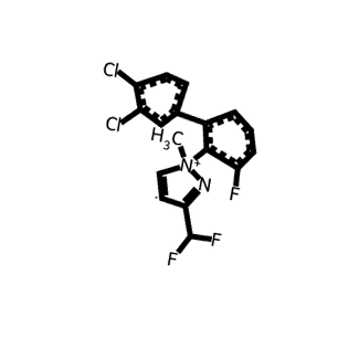 C[N+]1(c2c(F)cccc2-c2ccc(Cl)c(Cl)c2)C=[C]C(C(F)F)=N1